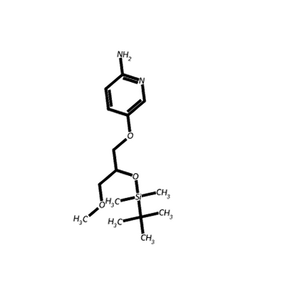 COCC(COc1ccc(N)nc1)O[Si](C)(C)C(C)(C)C